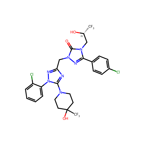 O=c1n(Cc2nc(N3CCC(O)(C(F)(F)F)CC3)n(-c3ccccc3Cl)n2)nc(-c2ccc(Cl)cc2)n1C[C@H](O)C(F)(F)F